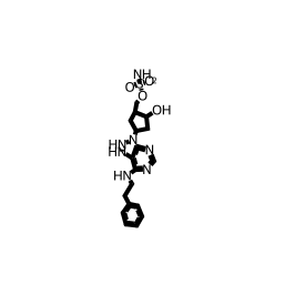 NS(=O)(=O)OCC1CC(N2NNc3c(NCCc4ccccc4)ncnc32)CC1O